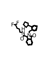 O=C(NCCCC(F)F)C1c2ccccc2C(=O)N1Cc1ccccc1C1CCCC1